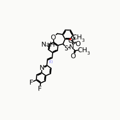 CC(=O)N(SC1c2ccccc2COc2ccc(/C=C/c3ccc4cc(F)c(F)cc4n3)cc21)S(C)(=O)=O.[NaH]